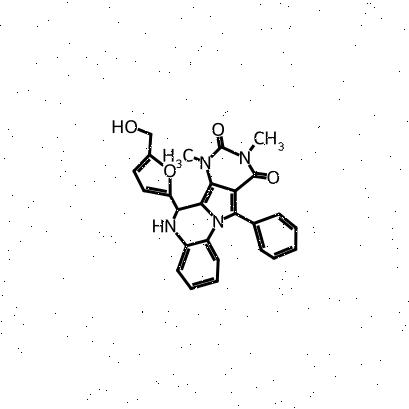 Cn1c(=O)c2c(-c3ccccc3)n3c(c2n(C)c1=O)C(c1ccc(CO)o1)Nc1ccccc1-3